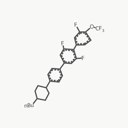 CCCCC1CCC(c2ccc(-c3cc(F)c(-c4ccc(OC(F)(F)F)c(F)c4)c(F)c3)cc2)CC1